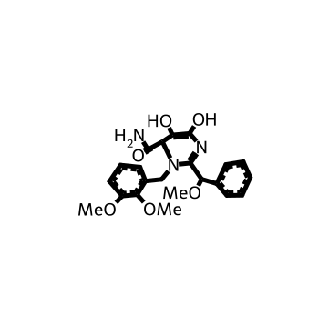 COc1cccc(CN2C(C(OC)c3ccccc3)=NC(O)=C(O)C2C(N)=O)c1OC